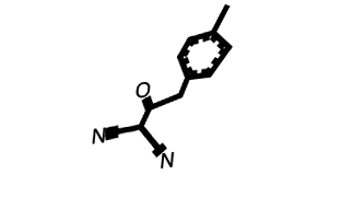 Cc1ccc(CC(=O)C(C#N)C#N)cc1